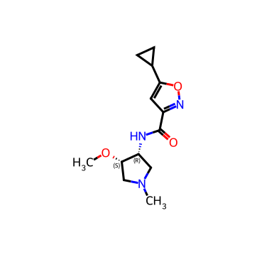 CO[C@H]1CN(C)C[C@H]1NC(=O)c1cc(C2CC2)on1